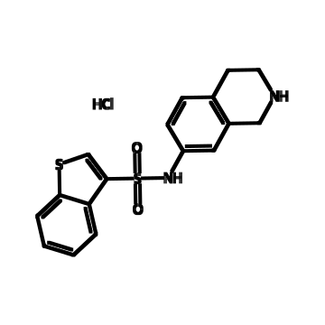 Cl.O=S(=O)(Nc1ccc2c(c1)CNCC2)c1csc2ccccc12